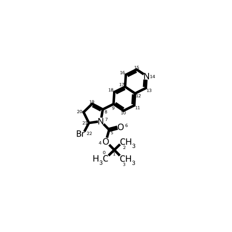 CC(C)(C)OC(=O)N1C(c2ccc3cnccc3c2)=CCC1Br